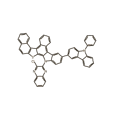 Clc1nc2ccccc2nc1-n1c2ccc(-c3ccc4c(c3)c3ccccc3n4-c3ccccc3)cc2c2c3ccccc3c3c(sc4ccc5ccccc5c43)c21